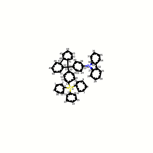 c1ccc(S(c2ccccc2)(c2ccccc2)c2ccc(C3(c4ccc(-n5c6ccccc6c6ccccc65)cc4)c4ccccc4-c4ccccc43)cc2)cc1